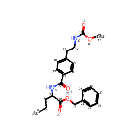 CC(=O)CCC(NC(=O)c1ccc(CCNC(=O)OC(C)(C)C)cc1)C(=O)OCc1ccccc1